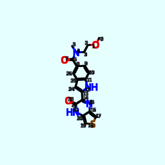 COCCN(C)C(=O)c1ccc2[nH]c(-c3nc4cscc4[nH]c3=O)cc2c1